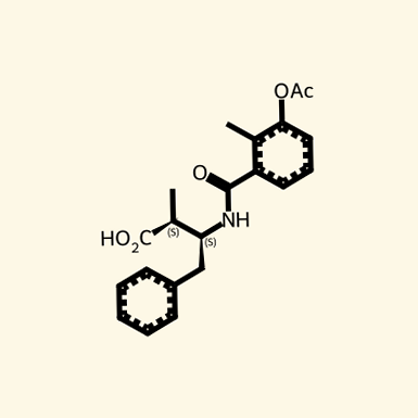 CC(=O)Oc1cccc(C(=O)N[C@@H](Cc2ccccc2)[C@H](C)C(=O)O)c1C